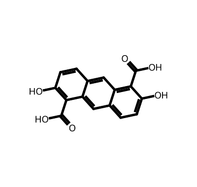 O=C(O)c1c(O)ccc2cc3c(C(=O)O)c(O)ccc3cc12